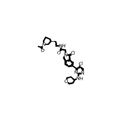 CC(=O)N1CCC[C@@H](CCNC(=O)CN2Cc3ccc(-c4nc(NC5CCOCC5)ncc4Cl)cc3C2=O)C1